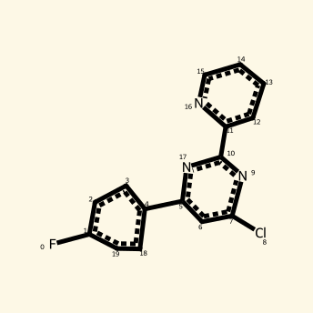 Fc1ccc(-c2cc(Cl)nc(-c3ccccn3)n2)cc1